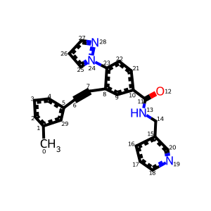 Cc1cccc(C#Cc2cc(C(=O)NCc3cccnc3)ccc2-n2cccn2)c1